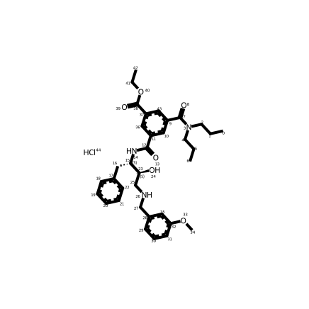 CCCN(CCC)C(=O)c1cc(C(=O)N[C@@H](Cc2ccccc2)[C@@H](O)CNCc2cccc(OC)c2)cc(C(=O)OCC)c1.Cl